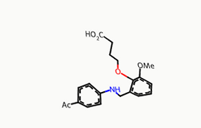 COc1cccc(CNc2ccc(C(C)=O)cc2)c1OCCCC(=O)O